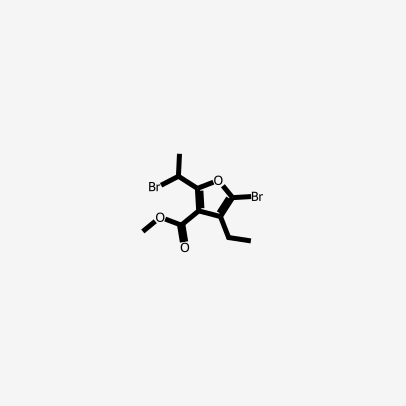 CCc1c(Br)oc(C(C)Br)c1C(=O)OC